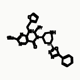 CC(C)CN(C(=O)c1cnc(C(C)(C)C)nc1NCc1ccco1)C1CNC[C@H](c2nnc(-c3ccccc3)o2)C1